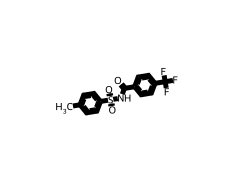 Cc1ccc(S(=O)(=O)NC(=O)c2ccc(C(F)(F)F)cc2)cc1